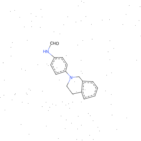 O=CNc1ccc(N2CCc3ccccc3C2)cc1